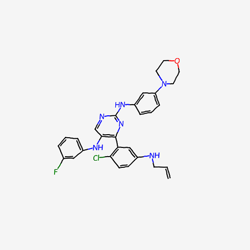 C=CCNc1ccc(Cl)c(-c2nc(Nc3cccc(N4CCOCC4)c3)ncc2Nc2cccc(F)c2)c1